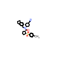 Cc1ccc(S(=O)(=O)[C@@H]2CCC[C@H]2C(=O)N(Cc2ccc3c(c2)CCC3)C2CCC(C#N)CC2)cc1